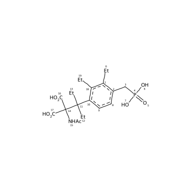 CCc1c(CP(=O)(O)O)ccc(C(CC)(CC)C(NC(C)=O)(C(=O)O)C(=O)O)c1CC